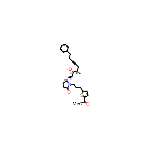 COC(=O)c1ccc(CCCN2C(=O)CC[C@@H]2/C=C/[C@@H](O)[C@H](C)CC#CCCc2ccccc2)s1